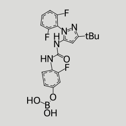 CC(C)(C)c1cc(NC(=O)Nc2ccc(OB(O)O)cc2F)n(-c2c(F)cccc2F)n1